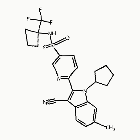 Cc1ccc2c(C#N)c(-c3ccc(S(=O)(=S)NC4(C(F)(F)F)CCC4)cn3)n(C3CCCC3)c2c1